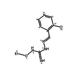 CCONC(=N)N/N=C/c1ccncc1Cl